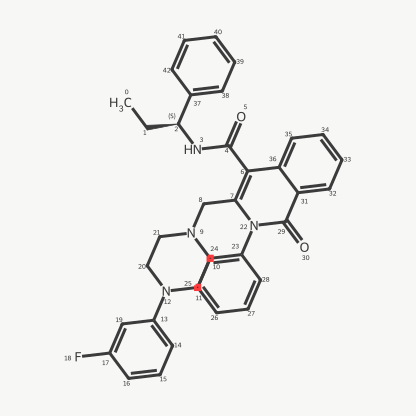 CC[C@H](NC(=O)c1c(CN2CCN(c3cccc(F)c3)CC2)n(-c2ccccc2)c(=O)c2ccccc12)c1ccccc1